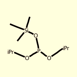 CC(C)OP(OC(C)C)O[Si](C)(C)C